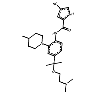 CC1CCN(c2cc(C(C)(C)OCCN(C)C)ccc2NC(=O)c2cc(C#N)c[nH]2)CC1